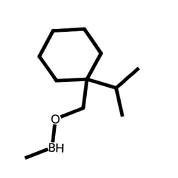 CBOCC1(C(C)C)CCCCC1